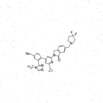 Cn1cnnc1-c1cc(C#N)ccc1-c1cc(C2CC2)nc(N2Cc3ccc(CN4CCC(F)(F)CC4)cc3C2=O)c1